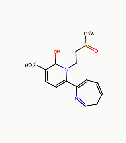 COS(=O)CCN1C(C2=CC=CCC=N2)=CC=C(C(=O)O)C1O